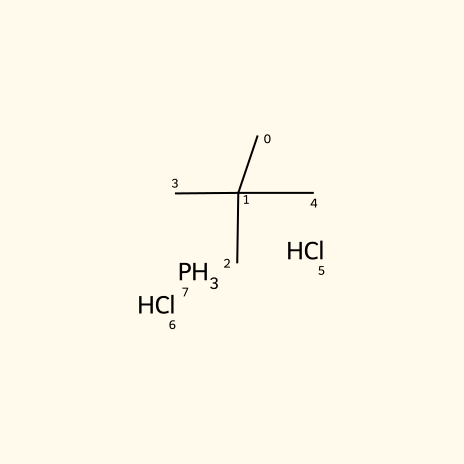 CC(C)(C)C.Cl.Cl.P